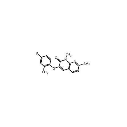 CSc1ncc2cc(Oc3ccc(F)cc3C)c(=O)n(C)c2n1